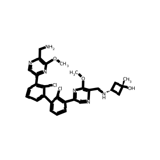 COc1nc(-c2cccc(-c3cccc(-c4cnc(CN[C@H]5C[C@@](C)(O)C5)c(OC)n4)c3Cl)c2Cl)cnc1CN